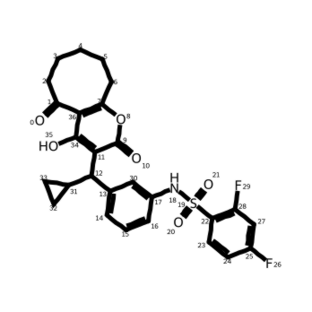 O=C1CCCCCc2oc(=O)c(C(c3cccc(NS(=O)(=O)c4ccc(F)cc4F)c3)C3CC3)c(O)c21